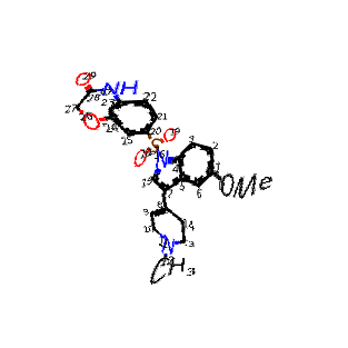 COc1ccc2c(c1)c(C1=CCN(C)CC1)cn2S(=O)(=O)c1ccc2c(c1)OCC(=O)N2